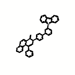 C=C1c2ccc3ccccc3c2C(c2ccccc2)=CC1c1ccc(-c2cccc(-n3c4ccccc4c4ccccc43)c2)cc1